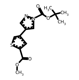 COC(=O)c1cc(-c2cnn(C(=O)OC(C)(C)C)c2)cs1